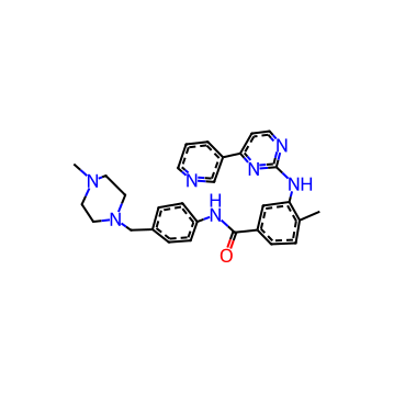 Cc1ccc(C(=O)Nc2ccc(CN3CCN(C)CC3)cc2)cc1Nc1nccc(-c2cccnc2)n1